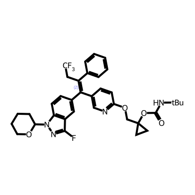 CC(C)(C)NC(=O)OC1(COc2ccc(/C(=C(/CC(F)(F)F)c3ccccc3)c3ccc4c(c3)c(F)nn4C3CCCCO3)cn2)CC1